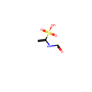 C=C(NC=O)S(=O)(=O)O